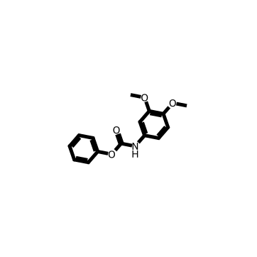 COc1ccc(NC(=O)Oc2ccccc2)cc1OC